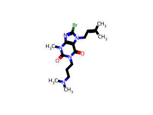 CC(C)=CCn1c(Br)nc2c1c(=O)n(CCCN(C)C)c(=O)n2C